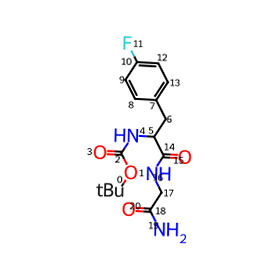 CC(C)(C)OC(=O)NC(Cc1ccc(F)cc1)C(=O)NCC(N)=O